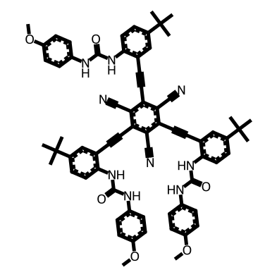 COc1ccc(NC(=O)Nc2ccc(C(C)(C)C)cc2C#Cc2c(C#N)c(C#Cc3cc(C(C)(C)C)ccc3NC(=O)Nc3ccc(OC)cc3)c(C#N)c(C#Cc3cc(C(C)(C)C)ccc3NC(=O)Nc3ccc(OC)cc3)c2C#N)cc1